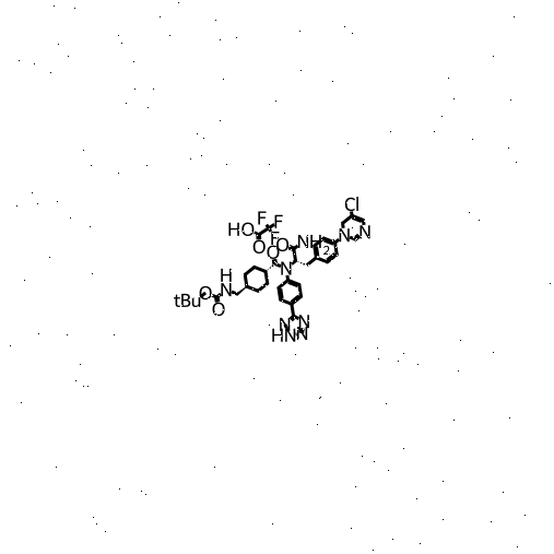 CC(C)(C)OC(=O)NC[C@H]1CC[C@H](C(=O)N(c2ccc(-c3nn[nH]n3)cc2)[C@@H](Cc2ccc(N3C=NC=C(Cl)C3)cc2)C(N)=O)CC1.O=C(O)C(F)(F)F